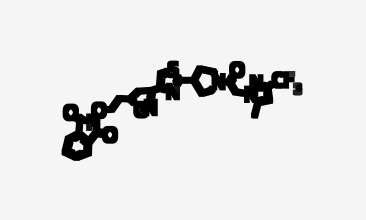 Cc1cc(C(F)(F)F)nn1CC(=O)N1CCC(c2nc(C3=NOC(CCON4C(=O)c5ccccc5C4=O)C3)cs2)CC1